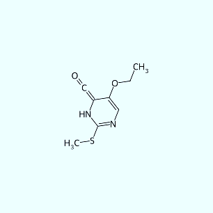 CCOC1=CN=C(SC)NC1=C=O